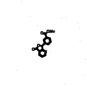 COC(=O)c1cccc(C2OC(=O)c3cccnc32)c1